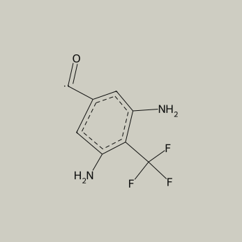 Nc1cc([C]=O)cc(N)c1C(F)(F)F